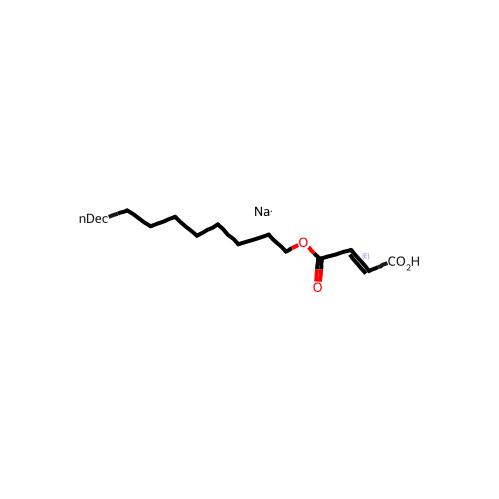 CCCCCCCCCCCCCCCCCCOC(=O)/C=C/C(=O)O.[Na]